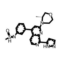 C[C@@H]1COCCN1c1cc(-c2cccc(/N=[SH](/C)=O)c2)c2ccnc(-c3ccn[nH]3)c2n1